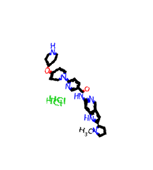 CN1CCC[C@@H]1c1cc2cnc(NC(=O)c3ccc(N4CCC(OC5CCNCC5)CC4)nc3)cc2[nH]1.Cl.Cl